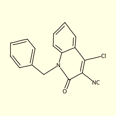 [C-]#[N+]c1c(Cl)c2ccccc2n(Cc2ccccc2)c1=O